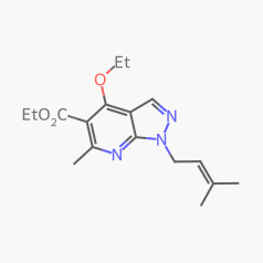 CCOC(=O)c1c(C)nc2c(cnn2CC=C(C)C)c1OCC